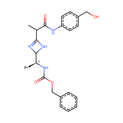 CC(C(=O)Nc1ccc(CO)cc1)C1=NC([C@@H](NC(=O)OCc2ccccc2)C(C)C)N1